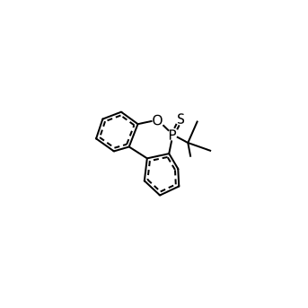 CC(C)(C)P1(=S)Oc2ccccc2-c2ccccc21